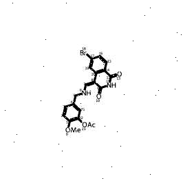 COc1ccc(CNC=C2C(=O)NC(=O)c3ccc(Br)cc32)cc1OC(C)=O